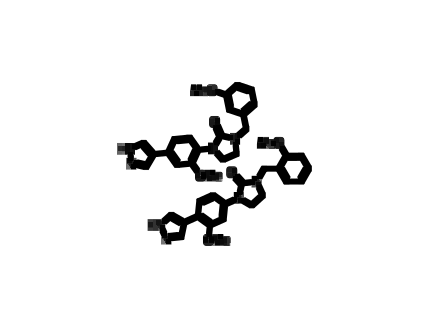 COc1cccc(CN2CCN(c3ccc(-c4cn[nH]c4)cc3OC)C2=O)c1.COc1ccccc1CN1CCN(c2ccc(-c3cn[nH]c3)c(OC)c2)C1=O